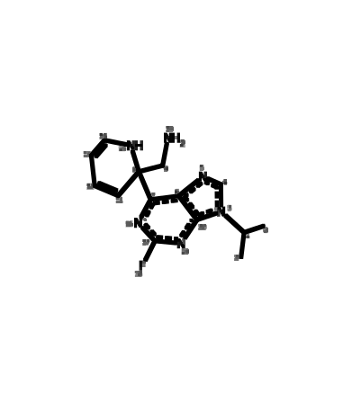 CC(C)n1cnc2c(C3(CN)C=CC=CN3)nc(F)nc21